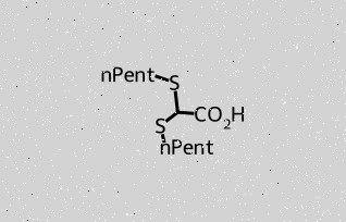 CCCCCSC(SCCCCC)C(=O)O